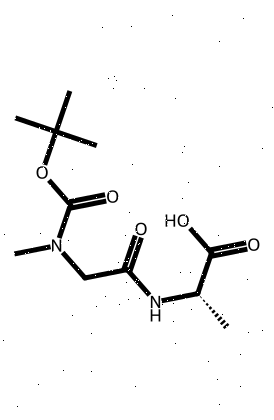 C[C@H](NC(=O)CN(C)C(=O)OC(C)(C)C)C(=O)O